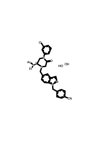 CCN(C(C)=O)[C@H]1CN(c2cccc(Cl)c2)C(=O)CN1Cc1ccc2c(cnn2Cc2ccc(C#N)cc2)c1.Cl.Cl